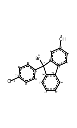 Oc1ccc2c(c1)C(Br)(c1ccc(Cl)cc1)c1ccccc1-2